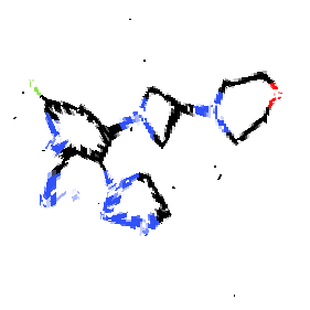 Nc1nc(F)cc(N2CC(N3CCOCC3)C2)c1-n1ccnn1